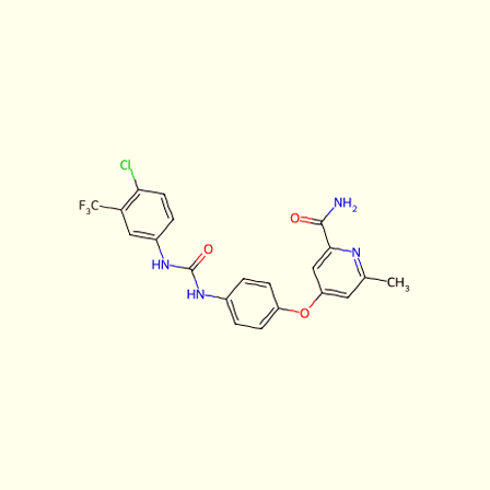 Cc1cc(Oc2ccc(NC(=O)Nc3ccc(Cl)c(C(F)(F)F)c3)cc2)cc(C(N)=O)n1